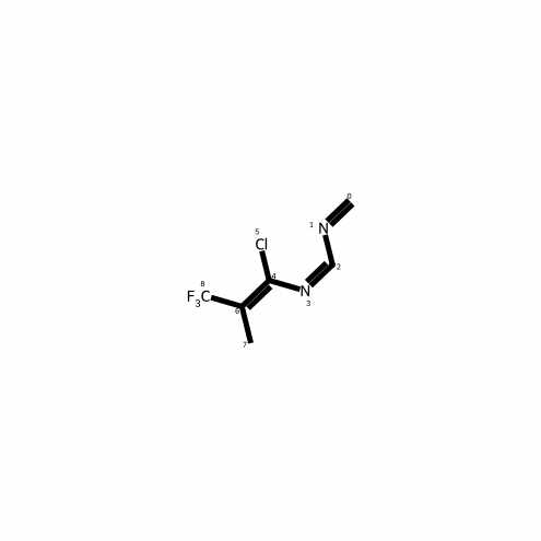 C=N/C=N\C(Cl)=C(/C)C(F)(F)F